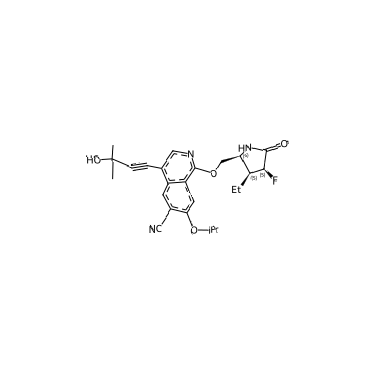 CC[C@@H]1[C@H](F)C(=O)N[C@@H]1COc1ncc(C#CC(C)(C)O)c2cc(C#N)c(OC(C)C)cc12